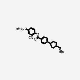 CCCCCCCc1ccc(OC(=O)c2ccc(C3CCC(CC(C)CC)CC3)cc2)c(C#N)c1